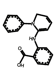 O=C(O)c1ccccc1NC1=CC=CCN1c1ccccc1